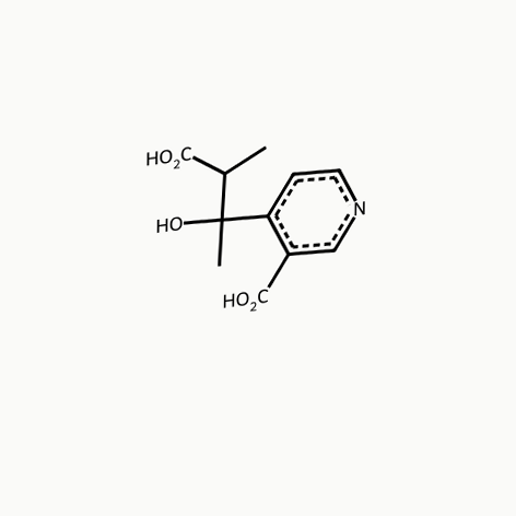 CC(C(=O)O)C(C)(O)c1ccncc1C(=O)O